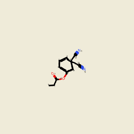 CCC(=O)OC1=CC=CC(C#N)(C#N)C1